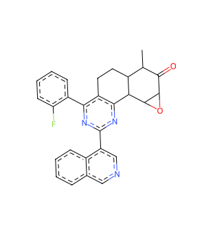 CC1C(=O)C2OC2C2c3nc(-c4cncc5ccccc45)nc(-c4ccccc4F)c3CCC12